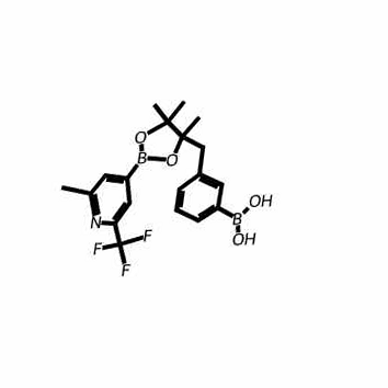 Cc1cc(B2OC(C)(C)C(C)(Cc3cccc(B(O)O)c3)O2)cc(C(F)(F)F)n1